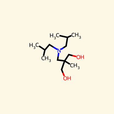 CC(C)CN(CC(C)C)CC(C)(CO)CO